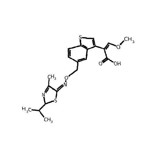 COC=C(C(=O)O)c1csc2ccc(CON=C3SC(C(C)C)N=C3C)cc12